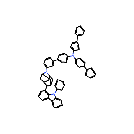 c1ccc(-c2ccc(N(c3ccc(-c4ccccc4)cc3)c3ccc(-c4cccc(N5C6CC7CC5CC(C6)C7c5cccc6c7ccccc7n(-c7ccccc7)c56)c4)cc3)cc2)cc1